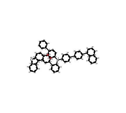 c1ccc(-c2ccc(N(c3ccc(-c4ccc(-c5cccc6ccccc56)cc4)cc3)c3ccccc3-c3ccc4ccc5oc6ccccc6c5c4c3)cc2)cc1